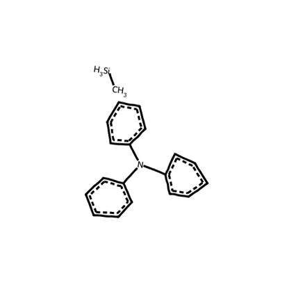 C[SiH3].c1ccc(N(c2ccccc2)c2ccccc2)cc1